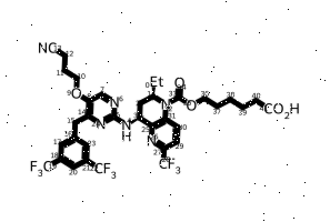 CC[C@@H]1C[C@H](Nc2ncc(OCCCC#N)c(Cc3cc(C(F)(F)F)cc(C(F)(F)F)c3)n2)c2nc(C(F)(F)F)ccc2N1C(=O)OCCCCCC(=O)O